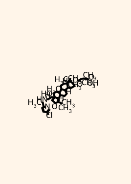 CC(C)C1=C2[C@H]3CC[C@@H]4[C@@]5(C)CC[C@H](OC(=O)CC(C)(C)C(=O)O)C(C)(C)[C@@H]5CC[C@@]4(C)[C@]3(C)CCC2(C(O)CN[C@H](C)c2ccc(Cl)cn2)CC1=O